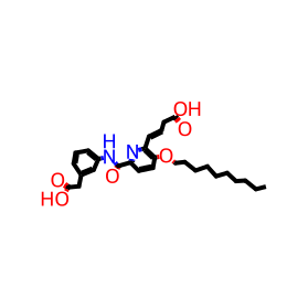 CCCCCCCCCCOc1ccc(C(=O)Nc2cccc(CC(=O)O)c2)nc1C=CCC(=O)O